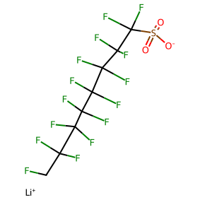 O=S(=O)([O-])C(F)(F)C(F)(F)C(F)(F)C(F)(F)C(F)(F)C(F)(F)C(F)(F)CF.[Li+]